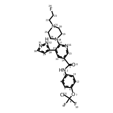 O=C(Nc1ccc(OC(F)(F)Cl)cc1)c1cnc(N2CCN(CCF)CC2)c(-c2ccn[nH]2)c1